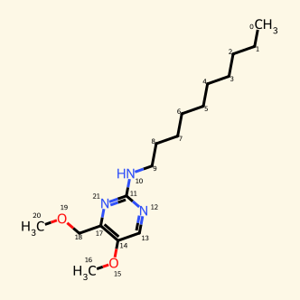 CCCCCCCCCCNc1ncc(OC)c(COC)n1